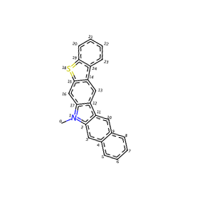 Cn1c2cc3ccccc3cc2c2cc3c(cc21)sc1ccccc13